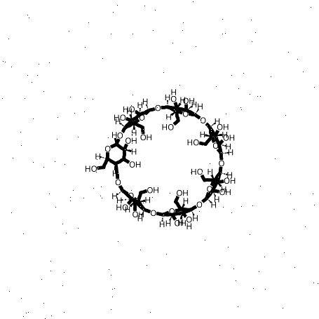 OC[C@H]1O[C@@H]2O[C@H]3C(O)[C@@H](O)[C@@H](O[C@H]4[C@H](O)[C@@H](O)[C@@H](O[C@H]5[C@H](O)[C@@H](O)[C@@H](O[C@H]6[C@H](O)[C@@H](O)[C@@H](O[C@H]7[C@H](O)[C@@H](O)[C@@H](O[C@H]8[C@H](O)[C@@H](O)[C@@H](O[C@H]1[C@H](O)[C@H]2O)O[C@@H]8CO)O[C@@H]7CO)O[C@@H]6CO)O[C@@H]5CO)O[C@@H]4CO)O[C@@H]3CO